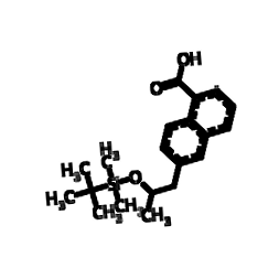 CC(Cc1ccc2c(C(=O)O)[c]ccc2c1)O[Si](C)(C)C(C)(C)C